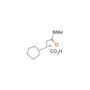 CNC(=O)C[C@H](C(=O)O)C1CCCCC1